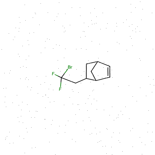 FC(F)(Br)CC1CC2C=CC1C2